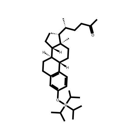 CC(=O)CC[C@@H](C)[C@H]1CC[C@H]2[C@@H]3CCc4cc(O[Si](C(C)C)(C(C)C)C(C)C)ccc4[C@H]3CC[C@]12C